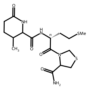 CSCC[C@@H](NC(=O)C1NC(=O)CCC1C)C(=O)N1CSCC1C(N)=O